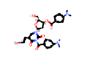 CN(C)c1ccc(C(=O)O[C@H]2C[C@H](n3cc(/C=C/Br)c(=O)n(C(=O)c4ccc(N(C)C)cc4)c3=O)O[C@@H]2CO)cc1